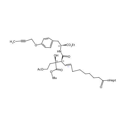 CC#CCOc1ccc(C[C@H](NC(=O)[C@@H](/C=C/CCCCCCC(=O)CCCCCCC)[C@@](O)(CCOC(C)=O)C(=O)OC(C)(C)C)C(=O)OCC)cc1